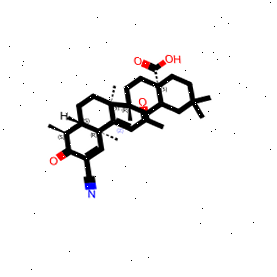 CC(=O)/C=C1/[C@@]2(C)C=C(C#N)C(=O)[C@@H](C)[C@@H]2CC[C@@]1(C)[C@]1(C)CC[C@@]2(C(=O)O)CCC(C)(C)CC2C1